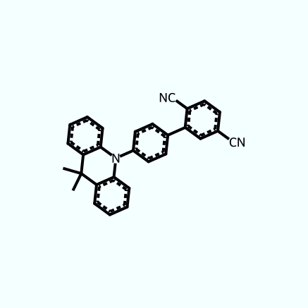 CC1(C)c2ccccc2N(c2ccc(-c3cc(C#N)ccc3C#N)cc2)c2ccccc21